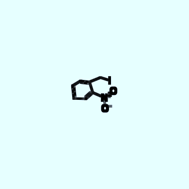 O=[N+]([O-])c1ccccc1CI